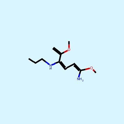 C=C(OC)/C(=C\C=C(/N)OC)NCCC